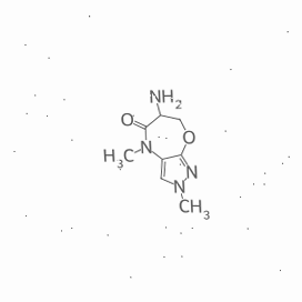 CN1C(=O)C(N)COc2nn(C)cc21